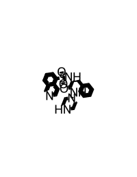 O=C(NN1CCNCC1)[C@H](Cc1ccccc1)NS(=O)(=O)c1cccc2cnccc12